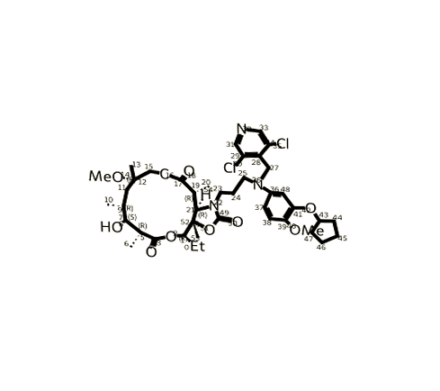 CC[C@H]1OC(=O)[C@H](C)[C@@H](O)[C@H](C)C[C@](C)(OC)CCC(=O)[C@H](C)[C@H]2N(CCCN(Cc3c(Cl)cncc3Cl)c3ccc(OC)c(OC4CCCC4)c3)C(=O)O[C@]12C